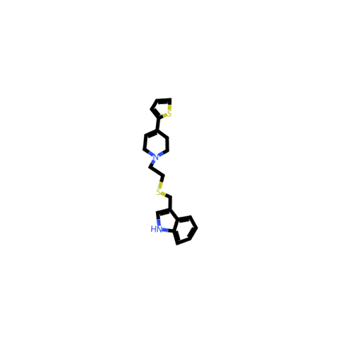 C1=C(c2cccs2)CCN(CCSCc2c[nH]c3ccccc23)C1